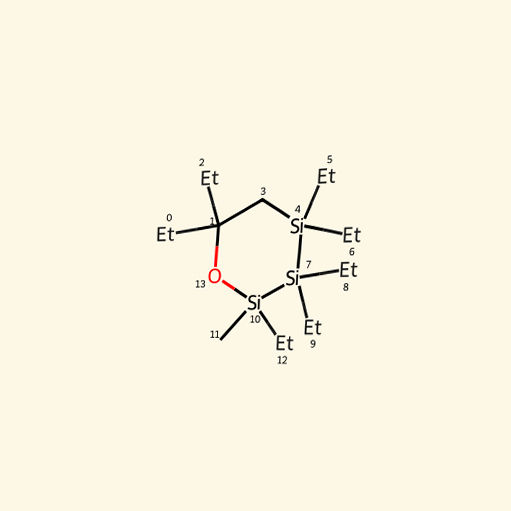 CCC1(CC)C[Si](CC)(CC)[Si](CC)(CC)[Si](C)(CC)O1